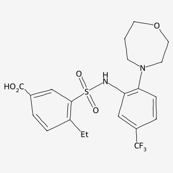 CCc1ccc(C(=O)O)cc1S(=O)(=O)Nc1cc(C(F)(F)F)ccc1N1CCCOCC1